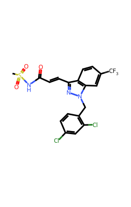 CS(=O)(=O)NC(=O)C=Cc1nn(Cc2ccc(Cl)cc2Cl)c2cc(C(F)(F)F)ccc12